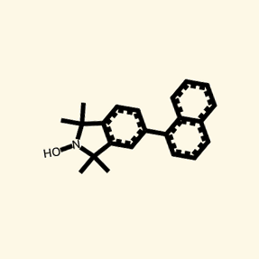 CC1(C)c2ccc(-c3cccc4ccccc34)cc2C(C)(C)N1O